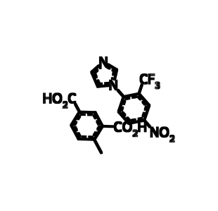 Cc1ccc(C(=O)O)cc1C(=O)O.O=[N+]([O-])c1ccc(-n2ccnc2)c(C(F)(F)F)c1